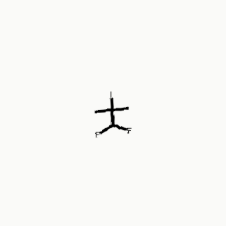 CC(C)(I)C(F)F